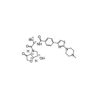 CC[C@H](C)[C@H](NC(=O)c1ccc(-c2csc(N3CCN(C)CC3)n2)cc1)C(=O)N1C[C@H](O)[C@H]2OCC(=O)[C@H]21